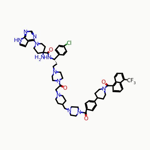 NC1(C(=O)N[C@@H](CCN2CCN(C(=O)CN3CCC(CN4CCN(C(=O)c5ccc(C6CCN(C(=O)c7cccc8c(C(F)(F)F)cccc78)CC6)cc5)CC4)CC3)CC2)c2ccc(Cl)cc2)CCN(c2ncnc3[nH]ccc23)CC1